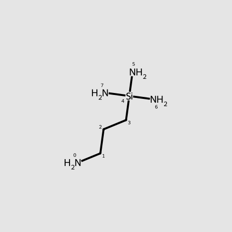 NCCC[Si](N)(N)N